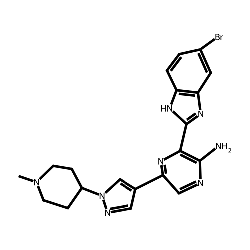 CN1CCC(n2cc(-c3cnc(N)c(-c4nc5cc(Br)ccc5[nH]4)n3)cn2)CC1